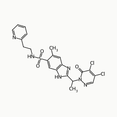 Cc1cc2nc(C(C)n3ncc(Cl)c(Cl)c3=O)[nH]c2cc1S(=O)(=O)NCCc1ccccn1